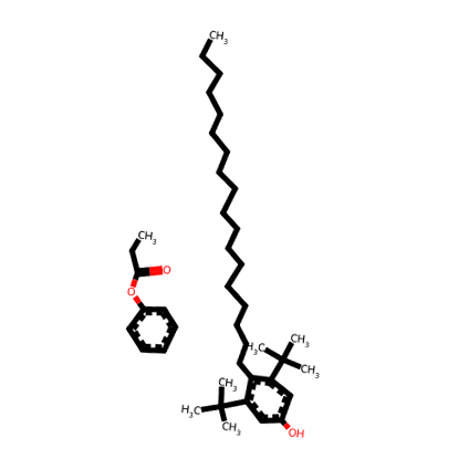 CCC(=O)Oc1ccccc1.CCCCCCCCCCCCCCCCCCc1c(C(C)(C)C)cc(O)cc1C(C)(C)C